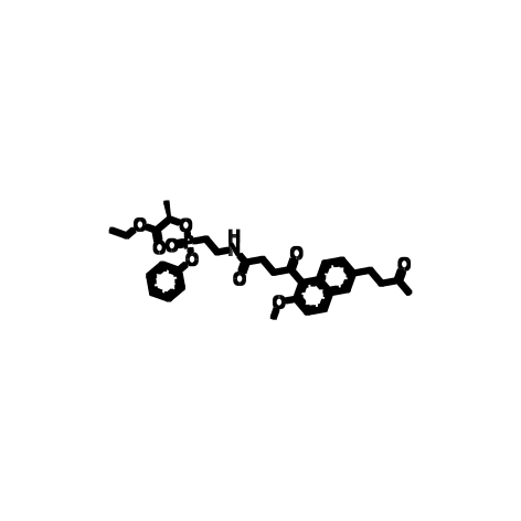 CCOC(=O)[C@@H](C)OP(=O)(CCNC(=O)CCC(=O)c1c(OC)ccc2cc(CCC(C)=O)ccc12)Oc1ccccc1